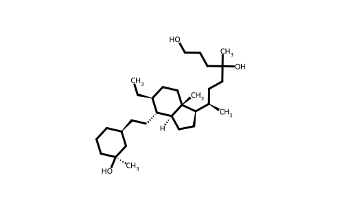 CC[C@H]1CC[C@]2(C)[C@@H]([C@H](C)CCC(C)(O)CCCO)CC[C@H]2[C@@H]1CC[C@@H]1CCC[C@](C)(O)C1